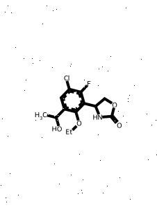 CCOc1c(C(C)O)cc(Cl)c(F)c1C1COC(=O)N1